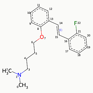 CN(C)CCCCOc1ccccc1/C=C/c1ccccc1F